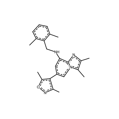 Cc1cccc(C)c1CNc1cc(-c2c(C)noc2C)cn2c(C)c(C)nc12